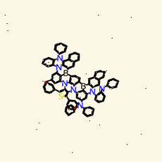 Cc1cc2c3c(c1)N1c4c(ccc5c4N(c4cc(N(c6ccccc6)c6ccccc6)cc6c4B5c4cc5ccccc5c5c4N6c4ccccc4N5c4ccccc4)c4c(-c5ccccc5)sc(-c5ccccc5)c41)B3c1cc3ccccc3c3c1N2c1ccccc1N3c1ccccc1